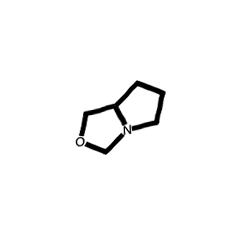 C1CC2COCN2C1